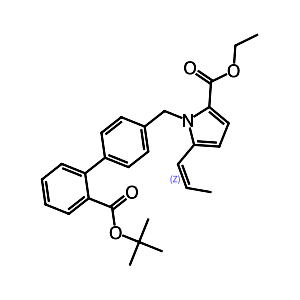 C/C=C\c1ccc(C(=O)OCC)n1Cc1ccc(-c2ccccc2C(=O)OC(C)(C)C)cc1